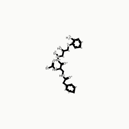 CCC(=O)NC(CNC(=O)Cc1ccccc1)C(=O)NN(CC)CC(O)COc1ccccc1C